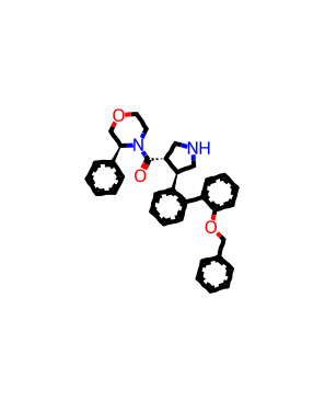 O=C([C@@H]1CNC[C@H]1c1ccccc1-c1ccccc1OCc1ccccc1)N1CCOC[C@@H]1c1ccccc1